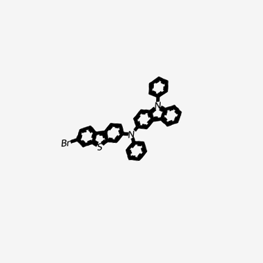 Brc1ccc2c(c1)sc1cc(N(c3ccccc3)c3ccc4c(c3)c3ccccc3n4-c3ccccc3)ccc12